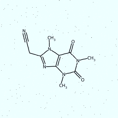 Cn1c(=O)c2c(nc(CC#N)n2C)n(C)c1=O